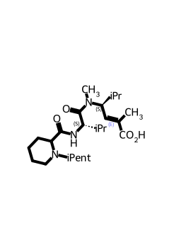 CCCC(C)N1CCCCC1C(=O)N[C@H](C(=O)N(C)[C@H](/C=C(\C)C(=O)O)C(C)C)C(C)C